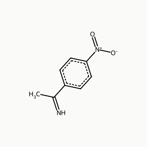 CC(=N)c1ccc([N+](=O)[O-])cc1